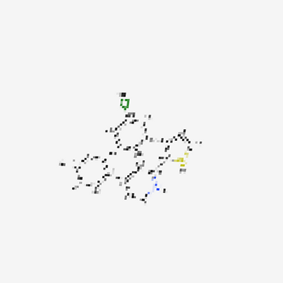 Cc1ccc(-c2ccnc(-c3cccs3)c2-c2ccc(Cl)cc2)cc1